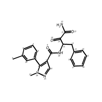 Cc1cccc(-c2c(C(=O)NC(Cc3ccccc3)C(=O)C(N)=O)cnn2C)c1